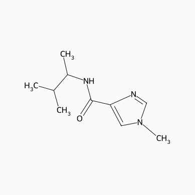 CC(C)C(C)NC(=O)c1cn(C)cn1